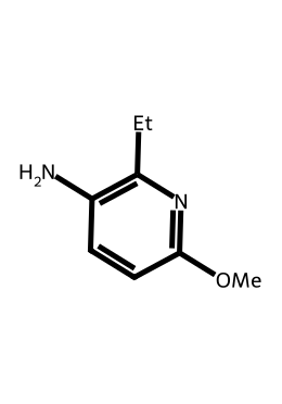 CCc1nc(OC)ccc1N